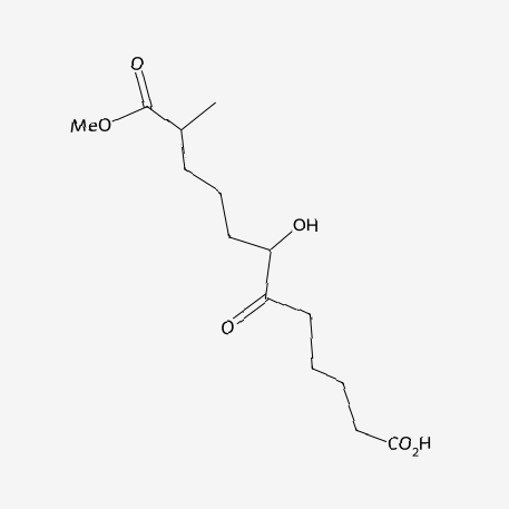 COC(=O)C(C)CCCC(O)C(=O)CCCCC(=O)O